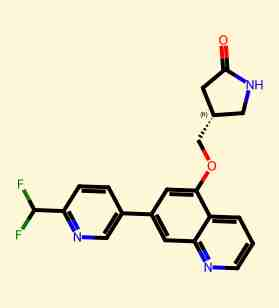 O=C1C[C@@H](COc2cc(-c3ccc(C(F)F)nc3)cc3ncccc23)CN1